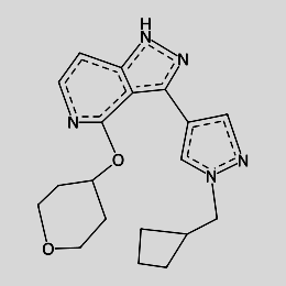 c1cc2[nH]nc(-c3cnn(CC4CCC4)c3)c2c(OC2CCOCC2)n1